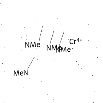 C[N-]C.C[N-]C.C[N-]C.C[N-]C.[Cr+4]